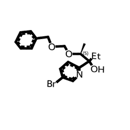 CCC(O)(c1ccc(Br)cn1)[C@H](C)OCOCc1ccccc1